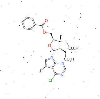 C[C@]1(CC(=O)O)[C@H](COC(=O)c2ccccc2)O[C@@H](n2cc(I)c3c(Cl)ncnc32)[C@@H]1CC(=O)O